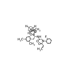 C=CC(=O)N(CC(=O)N[C@@H](Cc1ccc(C)cc1C)B1O[C@@H]2C[C@@H]3C[C@@H](C3(C)C)[C@]2(C)O1)c1ccccc1F